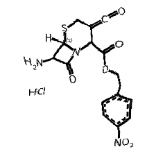 Cl.NC1C(=O)N2C(C(=O)OCc3ccc([N+](=O)[O-])cc3)C(=C=O)CS[C@@H]12